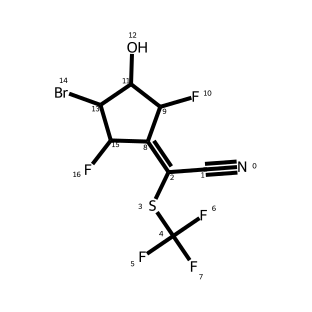 N#C/C(SC(F)(F)F)=C1\C(F)C(O)C(Br)C1F